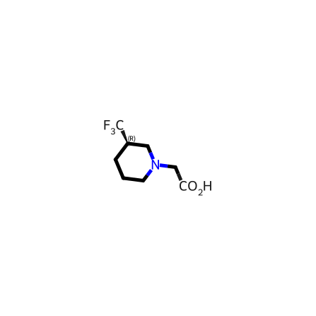 O=C(O)CN1CCC[C@@H](C(F)(F)F)C1